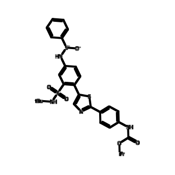 CC(C)OC(=O)Nc1ccc(-c2ncc(-c3ccc(N[S+]([O-])c4ccccc4)cc3S(=O)(=O)NC(C)(C)C)s2)cc1